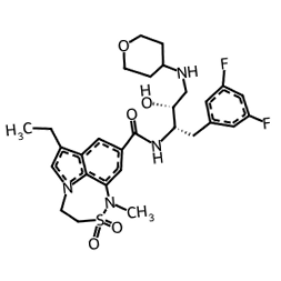 CCc1cn2c3c(cc(C(=O)N[C@@H](Cc4cc(F)cc(F)c4)[C@H](O)CNC4CCOCC4)cc13)N(C)S(=O)(=O)CC2